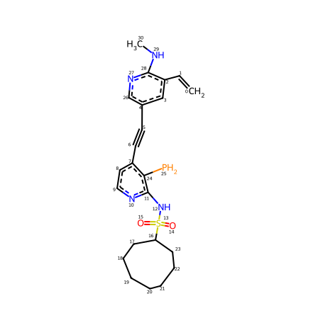 C=Cc1cc(C#Cc2ccnc(NS(=O)(=O)C3CCCCCCC3)c2P)cnc1NC